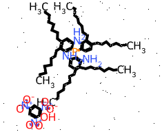 CCCCCCCCc1ccc(P(c2ccc(CCCCCCCC)c(CCCCCCCC)c2N)c2ccc(CCCCCCCC)c(CCCCCCCC)c2N)c(N)c1CCCCCCCC.O=[N+]([O-])c1cc([N+](=O)[O-])c(O)c([N+](=O)[O-])c1